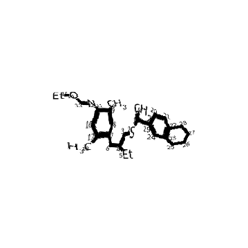 C=C(S/C=C(\CC)Cc1cc(C)c(/N=C/OCC)cc1C)c1ccc2c(c1)CCCC2